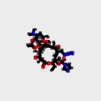 CC[C@H]1OC(=O)[C@H](C)C(=O)[C@H](C)[C@@H](O[C@@H]2O[C@H](C)C[C@H](N(C)C)[C@H]2OC(C)=O)[C@@](C)(OC)C[C@@H](C)C(=O)/C(CN=[N+]=[N-])=C/[C@]1(C)OC(=O)n1ccnc1